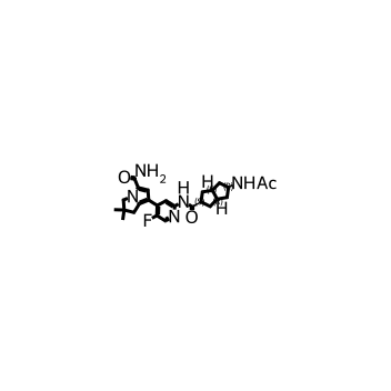 CC(=O)N[C@@H]1C[C@@H]2C[C@H](C(=O)Nc3cc(-c4cc(C(N)=O)n5c4CC(C)(C)C5)c(F)cn3)C[C@@H]2C1